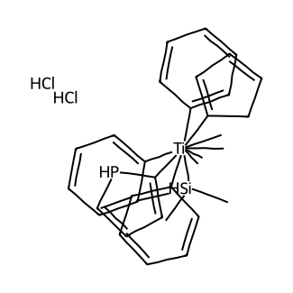 C[SiH](C)[Ti]([CH3])([CH3])([CH3])([CH3])([C]1=CC=CC1)([c]1ccccc1)([c]1ccccc1)([c]1ccccc1)[c]1ccc[pH]1.Cl.Cl